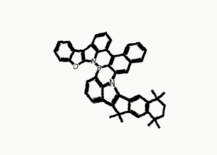 CC1(C)CCC(C)(C)c2cc3c(cc21)-c1c(c2cccc4c2n1-c1cc2ccccc2c2c1B4n1c4oc5ccccc5c4c4cccc-2c41)C3(C)C